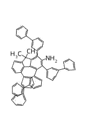 CC1(C)c2cccc(-c3cccc(-c4ccccc4)c3)c2-c2c(-c3cccc(-c4ccccc4)c3)c(-c3cccc(-c4ccccc4)c3)c(N)c(-c3cccc(-c4ccccc4)c3)c21